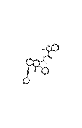 Cc1nn2cccnc2c1C(=O)N[C@H](C)c1cc2cccc(C#CC3CCOC3)c2c(=O)n1-c1ccccc1